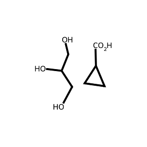 O=C(O)C1CC1.OCC(O)CO